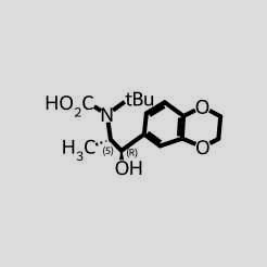 C[C@@H]([C@H](O)c1ccc2c(c1)OCCO2)N(C(=O)O)C(C)(C)C